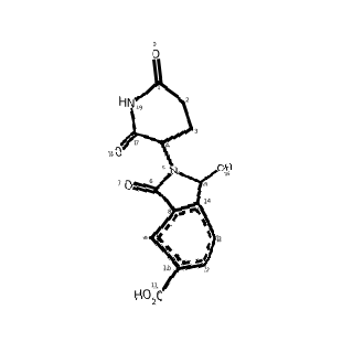 O=C1CCC(N2C(=O)c3cc(C(=O)O)ccc3C2O)C(=O)N1